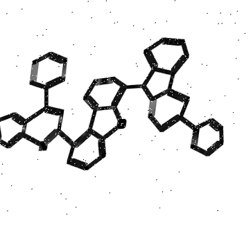 c1ccc(-c2ccc3c(c2)-c2ccccc2C3c2cccc3c2oc2cccc(-c4cc(-c5ccccc5)c5ccccc5n4)c23)cc1